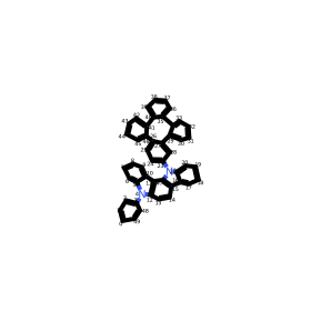 c1ccc(-n2c3ccccc3c3c2ccc2c4ccccc4n(-c4ccc5c(c4)-c4ccccc4-c4ccccc4-c4ccccc4-5)c23)cc1